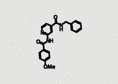 COc1ccc(C(=O)Nc2cc(C(=O)NCc3ccccc3)ccn2)cc1